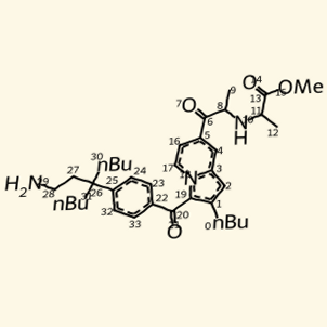 CCCCc1cc2cc(C(=O)C(C)NC(C)C(=O)OC)ccn2c1C(=O)c1ccc(C(CCN)(CCCC)CCCC)cc1